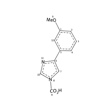 COc1cccc(-c2cn(C(=O)O)cn2)c1